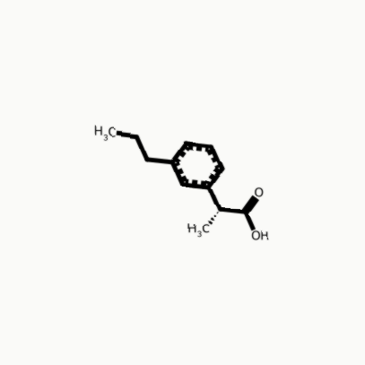 CCCc1cccc([C@@H](C)C(=O)O)c1